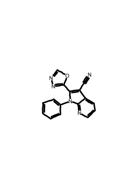 N#Cc1c(-c2nnco2)n(-c2ccccc2)c2ncccc12